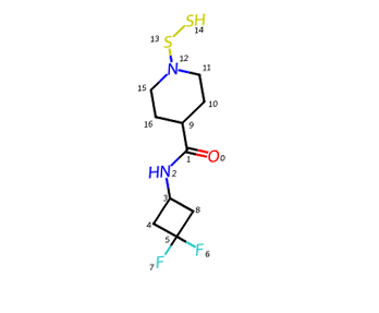 O=C(NC1CC(F)(F)C1)C1CCN(SS)CC1